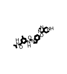 Cc1cc(NC(=O)n2ccc3cc(Oc4ncnc5c4CCNC5)ccc32)cc(C(=O)NC(C)C)c1